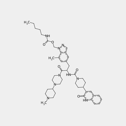 CCCCCNC(=O)OCn1ncc2cc(CC(NC(=O)N3CCC(c4cc5ccccc5[nH]c4=O)CC3)C(=O)N3CCN(C4CCN(C)CC4)CC3)cc(C)c21